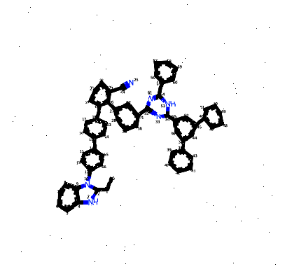 CCC1Nc2ccccc2N1c1ccc(-c2ccc(-c3cccc(C#N)c3-c3cccc(C4=NC(c5cc(-c6ccccc6)cc(-c6ccccc6)c5)NC(c5ccccc5)=N4)c3)cc2)cc1